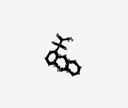 NC(=O)S(=O)(=O)c1cccc2nc3ccccc3cc12